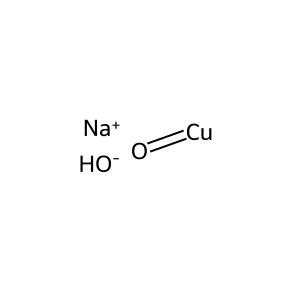 [Na+].[OH-].[O]=[Cu]